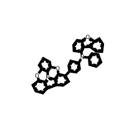 c1ccc(N(c2ccc(-c3ccc4c5cccc6c5n5c4c3Oc3cccc(c3-5)O6)cc2)c2cccc3oc4ccccc4c23)cc1